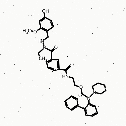 CCN(NCc1ccc(O)cc1OC)C(=O)c1cccc(C(=O)NCCOC(=O)N(c2ccccc2-c2ccccc2)N2CC[CH]CC2)c1